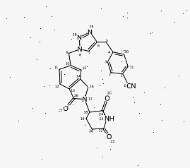 N#Cc1ccc(Cc2cn(Cc3ccc4c(c3)CN(C3CCC(=O)NC3=O)C4=O)nn2)cc1